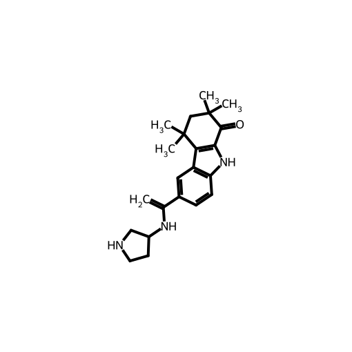 C=C(NC1CCNC1)c1ccc2[nH]c3c(c2c1)C(C)(C)CC(C)(C)C3=O